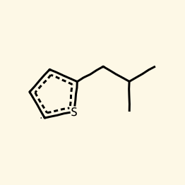 CC(C)Cc1cc[c]s1